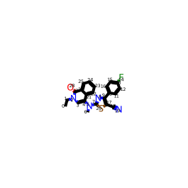 CCn1cc(N(C)c2nc(-c3ccc(F)cc3)c(C#N)s2)c2ccccc2c1=O